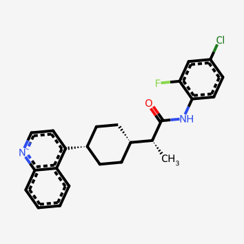 C[C@@H](C(=O)Nc1ccc(Cl)cc1F)[C@H]1CC[C@@H](c2ccnc3ccccc32)CC1